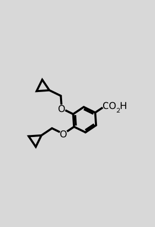 O=C(O)c1ccc(OCC2CC2)c(OCC2CC2)c1